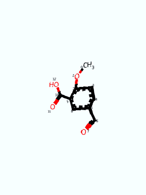 COc1ccc(C=O)cc1C(=O)O